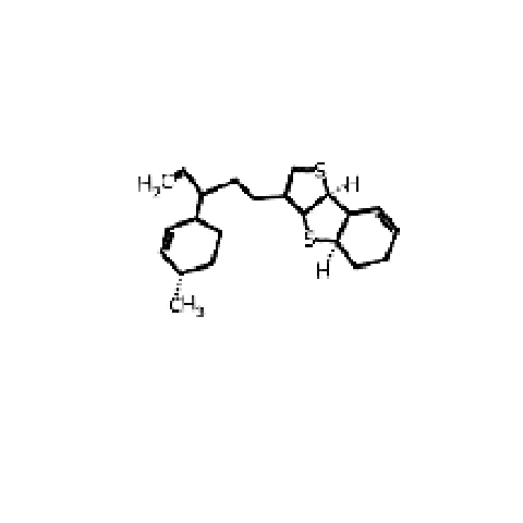 C=CC(CCC1CS[C@@H]2C1S[C@@H]1CCC=CC21)C1C=C[C@@H](C)CC1